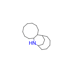 C1CCCCC2C3CCCCCC(CC3)NC2CCC1